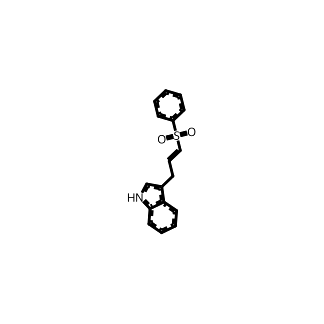 O=S(=O)(C=CCc1c[nH]c2ccccc12)c1ccccc1